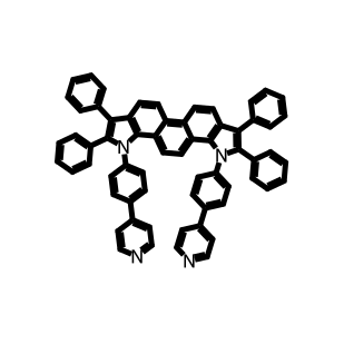 c1ccc(-c2c(-c3ccccc3)n(-c3ccc(-c4ccncc4)cc3)c3c2ccc2c4ccc5c(-c6ccccc6)c(-c6ccccc6)n(-c6ccc(-c7ccncc7)cc6)c5c4ccc23)cc1